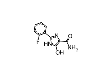 NC(=O)c1nc(-c2ccccc2F)[nH]c1O